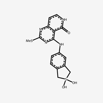 CSc1nc(Nc2ccc3c(c2)CS(O)(O)C3)c2c(=O)[nH]ccc2n1